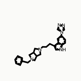 c1ccc(CN2CC3CN(CCCc4c[nH]c5ccc(-n6cnnc6)cc45)CC3C2)cc1